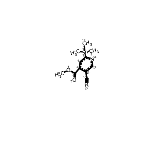 COC(=O)c1c[c]([Sn]([CH3])([CH3])[CH3])ncc1C#N